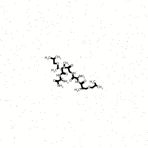 CC(C)COC[C@@H](C)C(=O)N[C@H](N)C(=O)NCC(=O)N(C)[C@H](C(=O)N[C@@H](N)C(N)=O)C(C)OCC(C)C